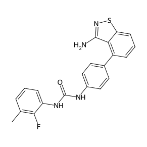 Cc1cccc(NC(=O)Nc2ccc(-c3cccc4snc(N)c34)cc2)c1F